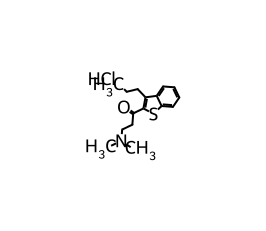 CCCc1c(C(=O)CCN(C)C)sc2ccccc12.Cl